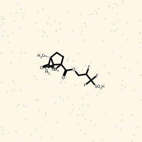 CC1(C)C2(C(=O)OCC(F)C(F)(F)S(=O)(=O)O)CC[C@]1(C)C(=O)O2